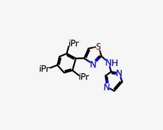 CC(C)c1cc(C(C)C)c(-c2csc(Nc3cnccn3)n2)c(C(C)C)c1